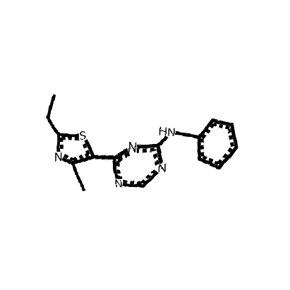 CCc1nc(C)c(-c2ncnc(Nc3ccccc3)n2)s1